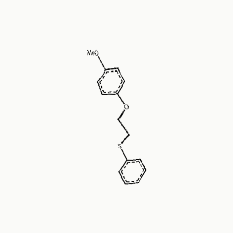 COc1ccc(OCCSc2ccccc2)cc1